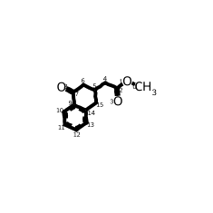 COC(=O)CC1CC(=O)c2ccccc2C1